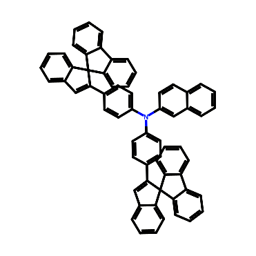 C1=C(c2ccc(N(c3ccc(C4=Cc5ccccc5C45c4ccccc4-c4ccccc45)cc3)c3ccc4ccccc4c3)cc2)C2(c3ccccc31)c1ccccc1-c1ccccc12